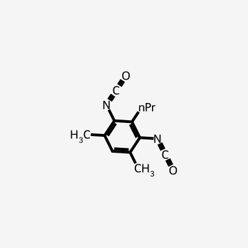 CCCc1c(N=C=O)c(C)cc(C)c1N=C=O